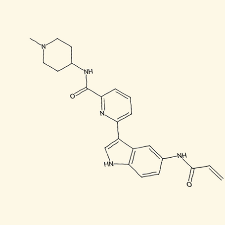 C=CC(=O)Nc1ccc2[nH]cc(-c3cccc(C(=O)NC4CCN(C)CC4)n3)c2c1